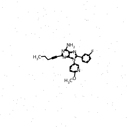 CCCC#Cc1nc(N)c2nc(-c3cccc(F)c3)n(-c3ccc(OC)nc3)c2n1